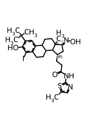 Cc1cnc(NC(=O)CC[C@@H]2C/C(=N\O)[C@@]3(C)CCC4c5cc(C(C)(C)C)c(O)c(I)c5CCC4C23)s1